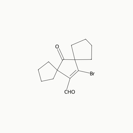 O=CC1=C(Br)C2(CCCC2)C(=O)C12CCCC2